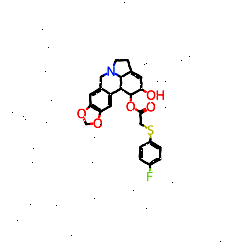 O=C(CSc1ccc(F)cc1)OC1C(O)C=C2CCN3Cc4cc5c(cc4C1C23)OCO5